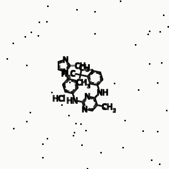 Cc1cnc(Nc2ccc(-n3ccnc3C)cc2)nc1Nc1cccc(C(C)(C)C)c1.Cl